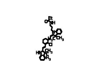 CCC(=O)NCCCN1/C(=C/C=C2\CCCC(/C=C/C3Nc4ccccc4C3(C)C)=C2Cl)C(C)(C)c2ccccc21